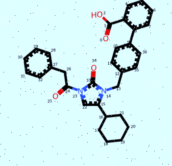 O=C(O)c1ccccc1-c1ccc(Cn2c(C3CCCCC3)cn(C(=O)Cc3ccccc3)c2=O)cc1